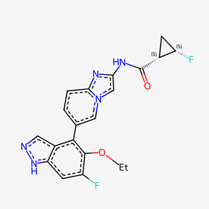 CCOc1c(F)cc2[nH]ncc2c1-c1ccc2nc(NC(=O)[C@@H]3C[C@@H]3F)cn2c1